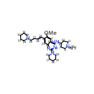 COc1cc2c(NC3CCN(C(C)C)CC3)nc(N3CCCCC3)nc2cc1/C=C/CCN1CCCCC1